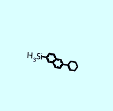 [SiH3]c1ccc2cc(C3=CCCCC3)ccc2c1